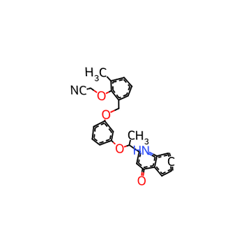 Cc1cccc(COc2cccc(OC(C)c3cc(=O)c4ccccc4[nH]3)c2)c1OCC#N